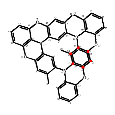 Cc1cc2c(cc1B1c3ccccc3Oc3cccc(C)c31)B1c3cc(B4c5ccccc5Oc5cccc(C)c54)c(C)cc3Oc3cccc(c31)O2